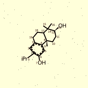 CC(C)c1cc2c(cc1O)[C@@]1(C)CC[C@H](O)C(C)(C)C1CC2